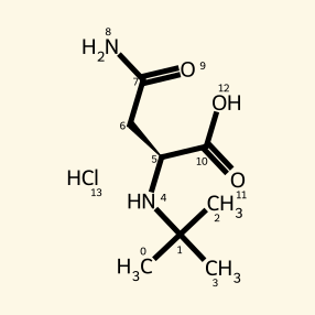 CC(C)(C)N[C@@H](CC(N)=O)C(=O)O.Cl